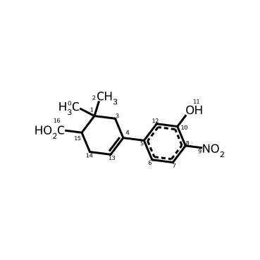 CC1(C)CC(c2ccc([N+](=O)[O-])c(O)c2)=CCC1C(=O)O